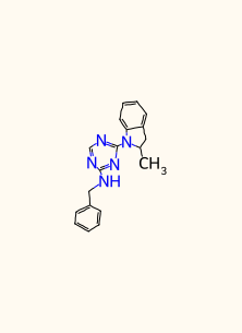 CC1Cc2ccccc2N1c1ncnc(NCc2ccccc2)n1